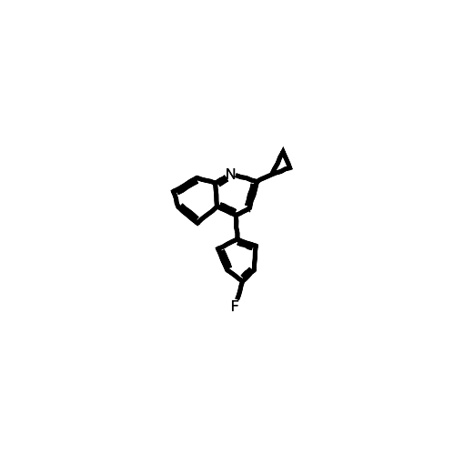 Fc1ccc(-c2[c]c(C3CC3)nc3ccccc23)cc1